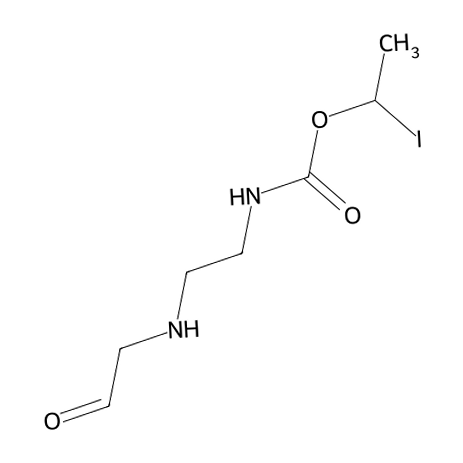 CC(I)OC(=O)NCCNCC=O